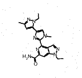 CCn1nc(C)cc1-c1cn(C)c(-c2nc(C(N)=O)cc3c2cnn3CC)n1